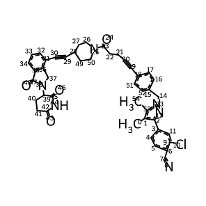 Cc1c(-c2ccc(C#N)c(Cl)c2)nn(Cc2ccc(C#CCCC(=O)N3CCC(C#Cc4cccc5c4CN(C4CCC(=O)NC4=O)C5=O)CC3)cc2)c1C